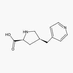 O=C(O)[C@@H]1C[C@H](Cc2ccncc2)CN1